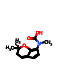 CN(C(=O)O)C1=C2OC(C)(C)CC=C2C=C1